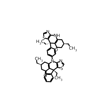 CC[C@@H]1CC(=O)C2=C(C1)N(c1ccc([C@]3(CC)C4=C(C[C@@H](CC)CC4=O)Nc4ncsc43)cc1)c1ncsc1[C@]2(CC)c1ccccc1